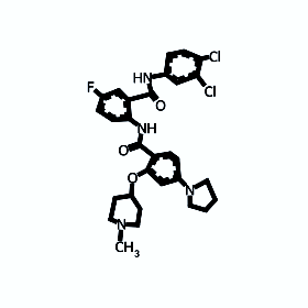 CN1CCC(Oc2cc(N3CCCC3)ccc2C(=O)Nc2ccc(F)cc2C(=O)Nc2ccc(Cl)c(Cl)c2)CC1